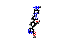 CNC1CCN(c2ccc3c(n2)OCc2cc(-c4cnnc(OC)c4)ccc2-3)CC1